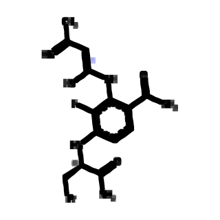 CC(=N)/C=C(\S)Nc1c(C(N)=O)ccc(N[C@H](CC(C)C)C(N)=O)c1F